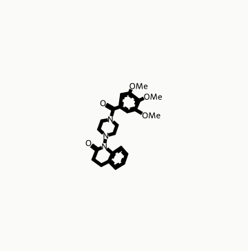 COc1cc(C(=O)N2CCN(N3C(=O)CCc4ccccc43)CC2)cc(OC)c1OC